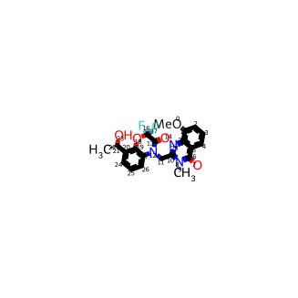 COc1cccc2c(=O)n(C)c(CN3C(=O)C(F)(F)Oc4c([C@H](C)O)cccc43)nc12